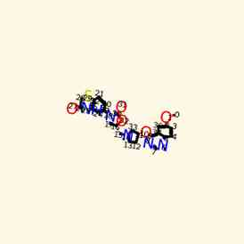 COc1ccc2ncnc(O[C@@H]3CCN(C[C@@H]4CN(c5ccc6c(c5)NC(=O)CS6)C(=O)O4)C3)c2c1